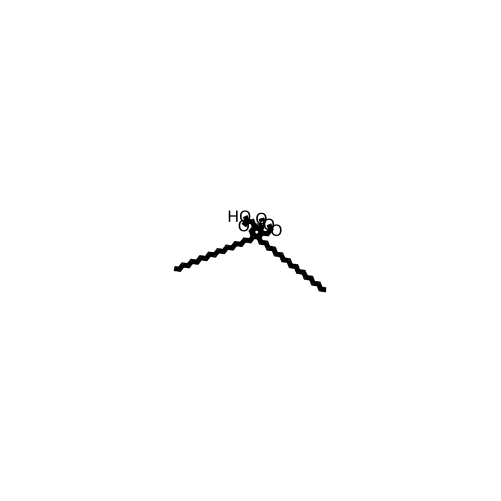 CCCCCCCCCCCCCCCCCCc1cc(CC(=O)O)c(I=O)c(CC(=O)O)c1CCCCCCCCCCCCCCCCCC